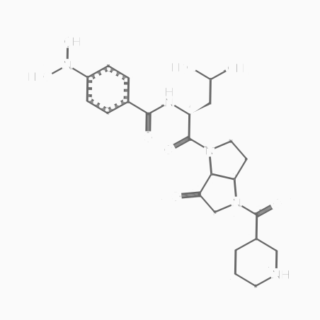 CC(C)C[C@H](NC(=O)c1ccc(N(C)C)cc1)C(=O)N1CCC2C1C(=O)CN2C(=O)C1CCCNC1